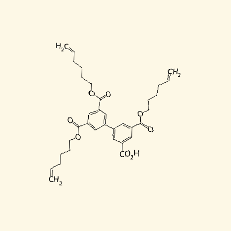 C=CCCCCOC(=O)c1cc(C(=O)O)cc(-c2cc(C(=O)OCCCCC=C)cc(C(=O)OCCCCC=C)c2)c1